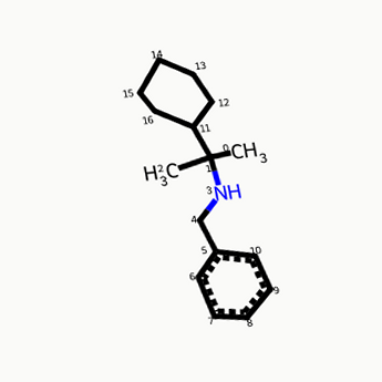 CC(C)(NCc1ccccc1)C1CCCCC1